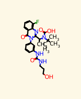 CC(c1nc2c(F)cccc2c(=O)n1-c1cccc(NC(=O)NCCCO)c1)N(C(=O)O)C(C)(C)C